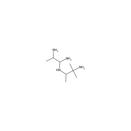 CC(N)C(N)NC(C)C(C)(C)N